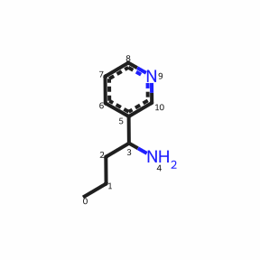 CCCC(N)c1cccnc1